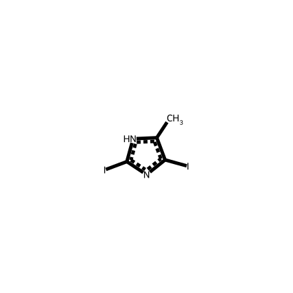 Cc1[nH]c(I)nc1I